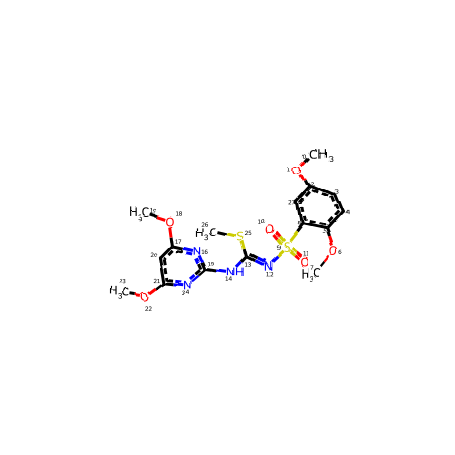 COc1ccc(OC)c(S(=O)(=O)N=C(Nc2nc(OC)cc(OC)n2)SC)c1